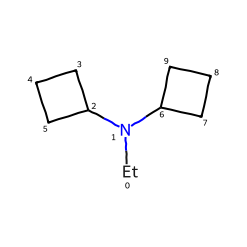 [CH2]CN(C1CCC1)C1CCC1